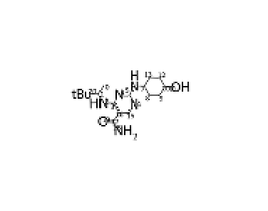 CC(Nc1nc(NC2CCC(O)CC2)ncc1C(N)=O)C(C)(C)C